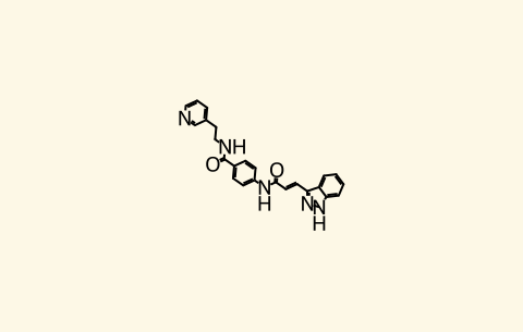 O=C(C=Cc1n[nH]c2ccccc12)Nc1ccc(C(=O)NCCc2cccnc2)cc1